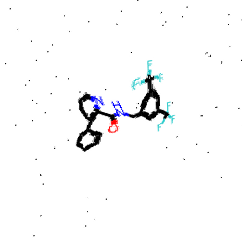 O=C(NCc1cc(C(F)(F)F)cc(C(F)(F)F)c1)c1ncccc1-c1ccccc1